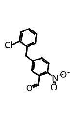 O=Cc1cc(Cc2ccccc2Cl)ccc1[N+](=O)[O-]